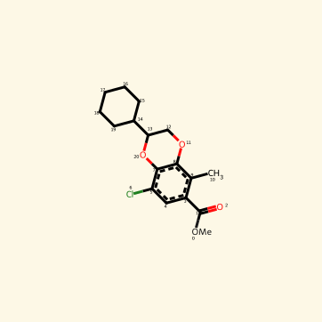 COC(=O)c1cc(Cl)c2c(c1C)OCC(C1CCCCC1)O2